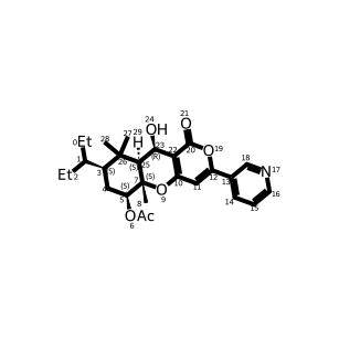 CCC(CC)[C@@H]1C[C@H](OC(C)=O)[C@@]2(C)Oc3cc(-c4cccnc4)oc(=O)c3[C@H](O)[C@@H]2C1(C)C